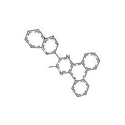 Cc1nc2c3ccccc3c3ccccc3c2nc1-c1ccc2ccccc2c1